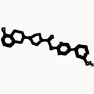 Cc1cc(-c2cnc(OC(=O)N3CCN(N4CCc5c(Cl)cccc5C4)CC3)nc2)ccn1